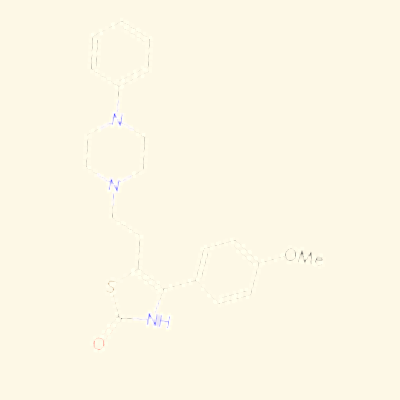 COc1ccc(-c2[nH]c(=O)sc2CCN2CCN(c3ccccc3)CC2)cc1